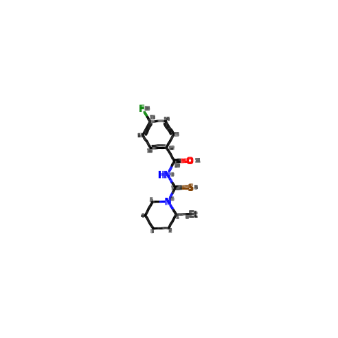 CCC1CCCCN1C(=S)NC(=O)c1ccc(F)cc1